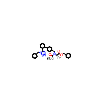 CCCCC(=O)N(Cc1ccc(-c2ccccc2-c2nnnn2Cc2ccccc2)cc1)[C@H](C(=O)OCc1ccccc1)C(C)C